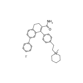 C[N+]1(CCc2ccc(C3=C(C(N)=O)CCc4ccc(-c5ccccc5)cc43)cc2)CCCCC1.[I-]